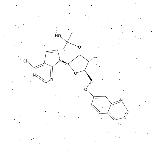 C[C@H]1[C@@H](OC(C)(C)O)[C@H](n2ccc3c(Cl)ncnc32)O[C@@H]1COc1ccc2cncnc2c1